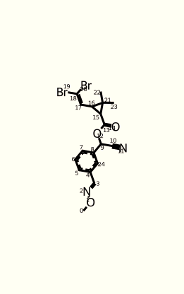 CON=Cc1cccc(C(C#N)OC(=O)C2C(C=C(Br)Br)C2(C)C)c1